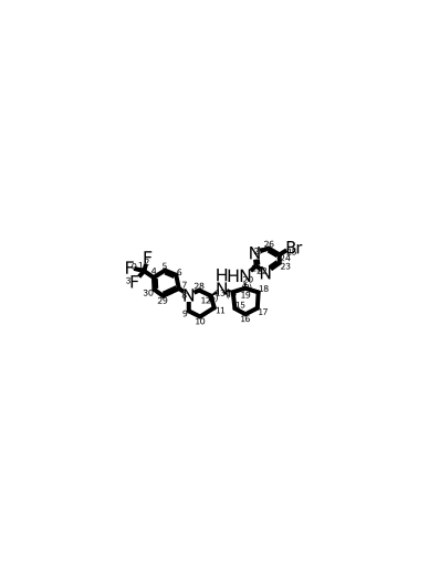 FC(F)(F)c1ccc(N2CCC[C@H](N[C@@H]3CCCC[C@H]3Nc3ncc(Br)cn3)C2)cc1